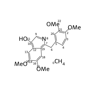 C.COc1ccc(Cc2ncc(O)c3cc(OC)c(OC)cc23)cc1OC